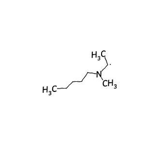 C[CH]N(C)CCCCC